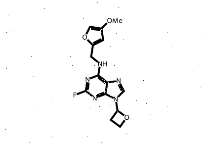 COc1coc(CNc2nc(F)nc3c2ncn3C2CCO2)c1